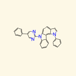 c1ccc(-c2cnc(-n3c4ccccc4c4c5c(ccc43)ccn5-c3ccccc3)nc2)cc1